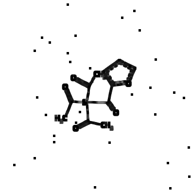 CC(=O)[Si](C(C)=O)(C(C)=O)C(=O)c1ccco1